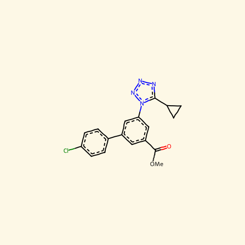 COC(=O)c1cc(-c2ccc(Cl)cc2)cc(-n2nnnc2C2CC2)c1